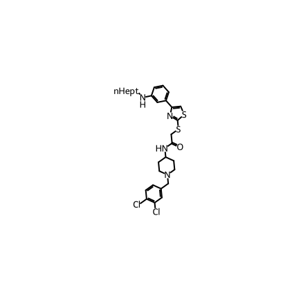 CCCCCCCNc1cccc(-c2csc(SCC(=O)NC3CCN(Cc4ccc(Cl)c(Cl)c4)CC3)n2)c1